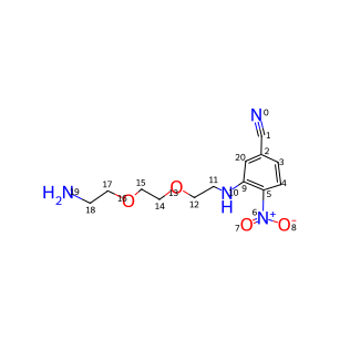 N#Cc1ccc([N+](=O)[O-])c(NCCOCCOCCN)c1